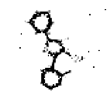 Cc1ccccc1-c1oc(-c2ccccc2)nc1C(=O)O